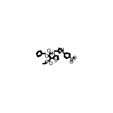 CCOC(=O)c1c(OCc2ccccc2)c(=O)n(Cc2cnn(-c3ccc([N+](=O)[O-])cc3)c2)c2ccsc12